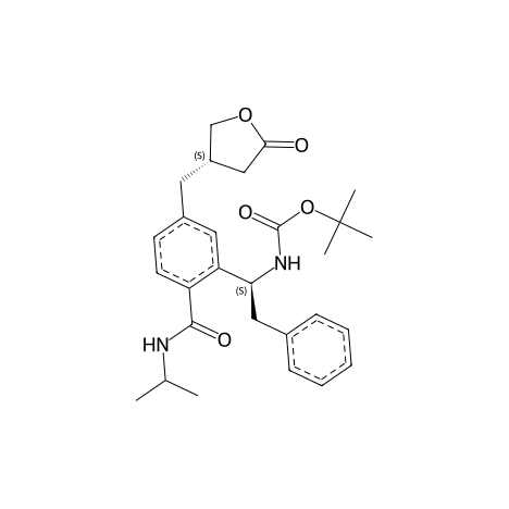 CC(C)NC(=O)c1ccc(C[C@@H]2COC(=O)C2)cc1[C@H](Cc1ccccc1)NC(=O)OC(C)(C)C